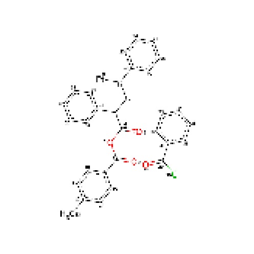 CCC(CC(C(=O)OC(=O)c1ccc(C)cc1)c1ccccc1)c1ccccc1.O=C(Cl)c1ccccc1